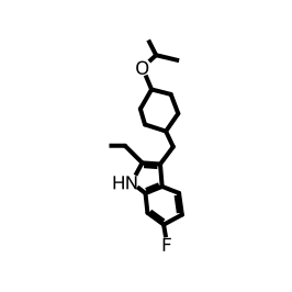 CCc1[nH]c2cc(F)ccc2c1CC1CCC(OC(C)C)CC1